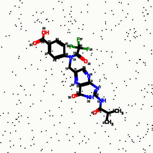 CC(C)C(=O)Nc1nc2ncc(CN(C(=O)C(F)(F)F)c3ccc(C(=O)O)cc3)nc2c(=O)[nH]1